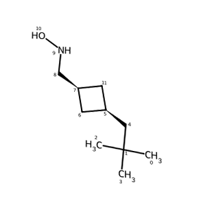 CC(C)(C)C[C@H]1C[C@@H](CNO)C1